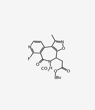 Cc1noc2c1-c1ccnc(F)c1C(=O)N(C(=O)O)C2CC(=O)OC(C)(C)C